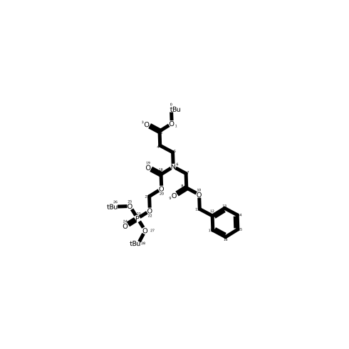 CC(C)(C)OC(=O)CCN(CC(=O)OCc1ccccc1)C(=O)OCOP(=O)(OC(C)(C)C)OC(C)(C)C